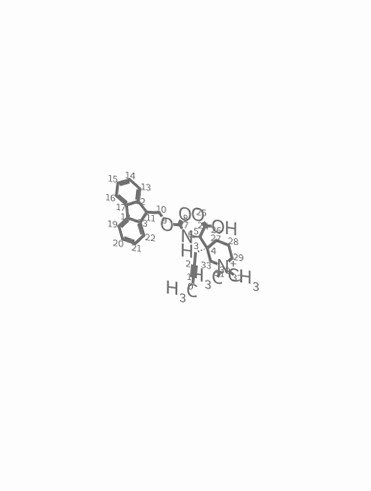 CC#CC[C@]1([C@@H](NC(=O)OCC2c3ccccc3-c3ccccc32)C(=O)O)CCC[N+](C)(C)C1